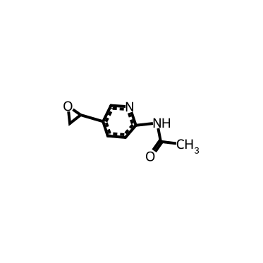 CC(=O)Nc1ccc(C2CO2)cn1